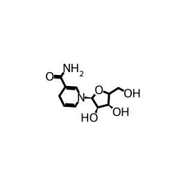 NC(=O)C1=CN([C@H]2OC(CO)[C@@H](O)[C@H]2O)C=CC1